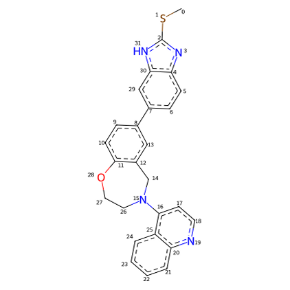 CSc1nc2ccc(-c3ccc4c(c3)CN(c3ccnc5ccccc35)CCO4)cc2[nH]1